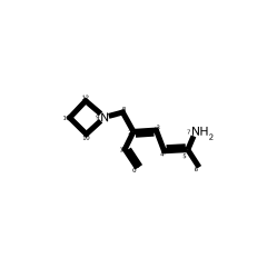 C=C/C(=C\C=C(\C)N)CN1CCC1